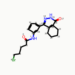 O=C(CCCCBr)Nc1cccc(-c2n[nH]c(=O)c3c2CCCC3)c1